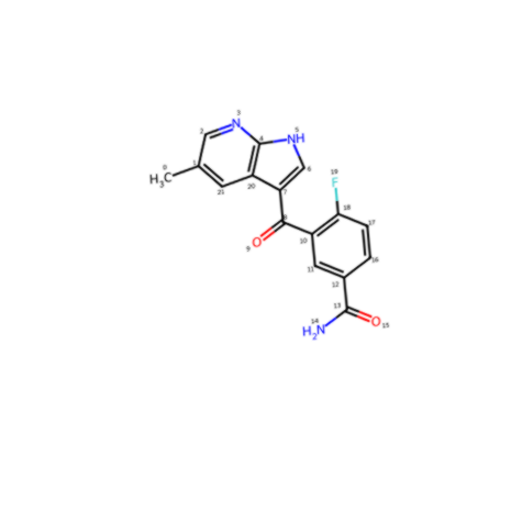 Cc1cnc2[nH]cc(C(=O)c3cc(C(N)=O)ccc3F)c2c1